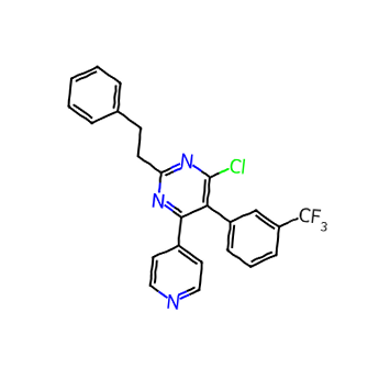 FC(F)(F)c1cccc(-c2c(Cl)nc(CCc3ccccc3)nc2-c2ccncc2)c1